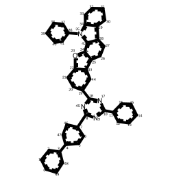 c1ccc(-c2ccc(-c3nc(-c4ccccc4)nc(-c4ccc5oc6c(ccc7c8ccccc8n(-c8ccccc8)c76)c5c4)n3)cc2)cc1